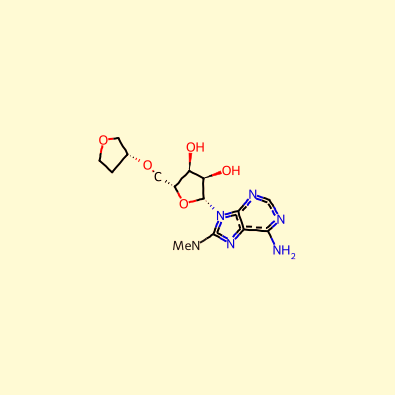 CNc1nc2c(N)ncnc2n1[C@@H]1O[C@H](CO[C@@H]2CCOC2)[C@@H](O)[C@H]1O